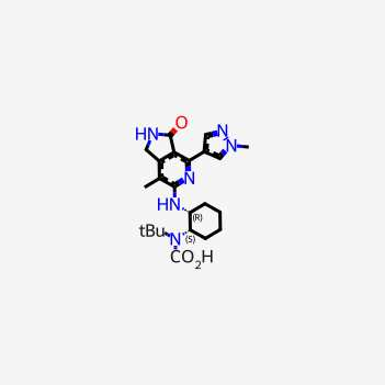 Cc1c(N[C@@H]2CCCC[C@@H]2N(C(=O)O)C(C)(C)C)nc(-c2cnn(C)c2)c2c1CNC2=O